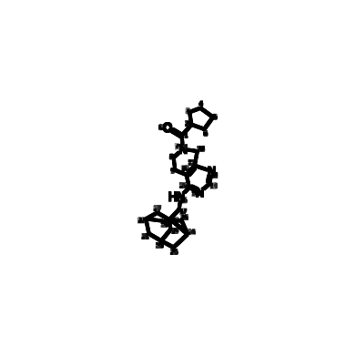 O=C(C1CCCC1)N1CCc2c(ncnc2NCC23CC4CC(CC(C4)C2)C3)C1